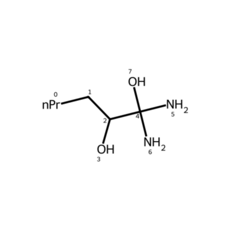 CCCCC(O)C(N)(N)O